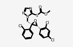 COC(=O)Sc1ncnn1C[C@]1(c2ccccc2Cl)O[C@@H]1c1ccc(Cl)cc1Cl